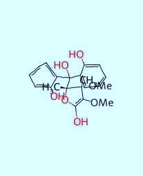 COC1=C(O)O[C@](C)(C(O)(c2ccccc2O)c2ccccc2O)[C@]1(C)OC